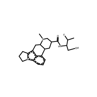 CC(F)C(CO)NC(=O)C1CC2c3cccc4c3c(c3n4CCC3)CC2N(C)C1